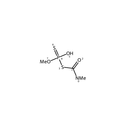 CNC(=O)SP(O)(=S)OC